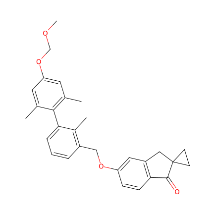 COCOc1cc(C)c(-c2cccc(COc3ccc4c(c3)CC3(CC3)C4=O)c2C)c(C)c1